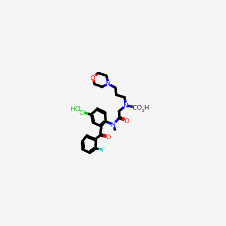 CN(C(=O)CN(CCCN1CCOCC1)C(=O)O)c1ccc(Cl)cc1C(=O)c1ccccc1F.Cl